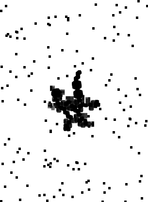 CCCCc1ccc(-c2ccc(C(=O)N[C@@H](CNC(=O)OC(C)(C)C)C(=O)NC(CCC(=O)N[C@H](CC(=O)O)C(=O)O)C(=O)N[C@@H](N)C(=O)N[C@@H](CCCCNC(=O)OC(C)(C)C)C(=O)N[C@@H](N)B3OC4C[C@@H]5C[C@@H](C5(C)C)[C@]4(C)O3)cc2)cc1